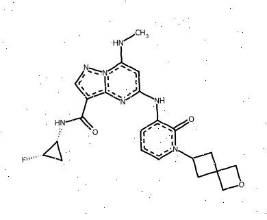 CNc1cc(Nc2cccn(C3CC4(COC4)C3)c2=O)nc2c(C(=O)N[C@@H]3C[C@@H]3F)cnn12